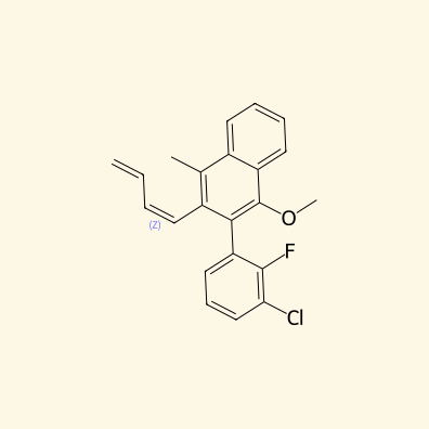 C=C/C=C\c1c(-c2cccc(Cl)c2F)c(OC)c2ccccc2c1C